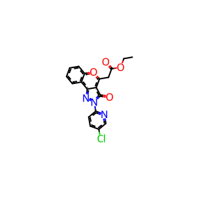 CCOC(=O)Cc1oc2ccccc2c2nn(-c3ccc(Cl)cn3)c(=O)c1-2